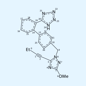 CCC#Cc1nc(OC)nn1Cc1ccc(-c2ccccc2-c2nnn[nH]2)cc1